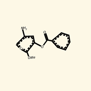 COc1ccc(N)cc1OC(=O)c1ccccc1